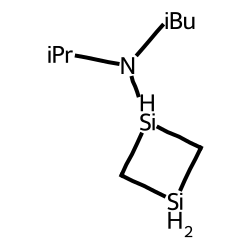 CCC(C)N(C(C)C)[SiH]1C[SiH2]C1